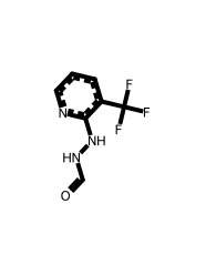 O=CNNc1ncccc1C(F)(F)F